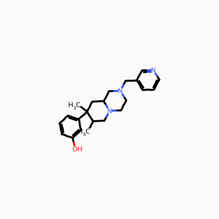 CC1CN2CCN(Cc3cccnc3)CC2CC1(C)c1cccc(O)c1